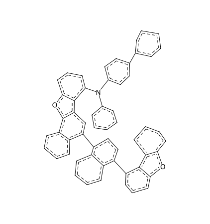 c1ccc(-c2ccc(N(c3ccccc3)c3cccc4oc5c6ccccc6c(-c6ccc(-c7cccc8oc9ccccc9c78)c7ccccc67)cc5c34)cc2)cc1